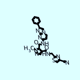 Cn1ncc(C(=O)NCc2nc(C#N)cs2)c1C(=O)Nc1ccn2cc(-c3ccccc3)nc2n1